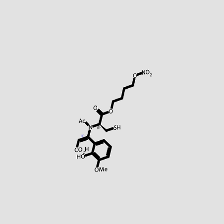 COc1cccc(/C(=C\C(=O)O)N(C(C)=O)[C@H](CS)C(=O)OCCCCO[N+](=O)[O-])c1O